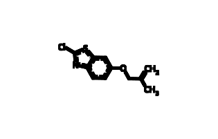 C=C(C)COc1ccc2nc(Cl)sc2c1